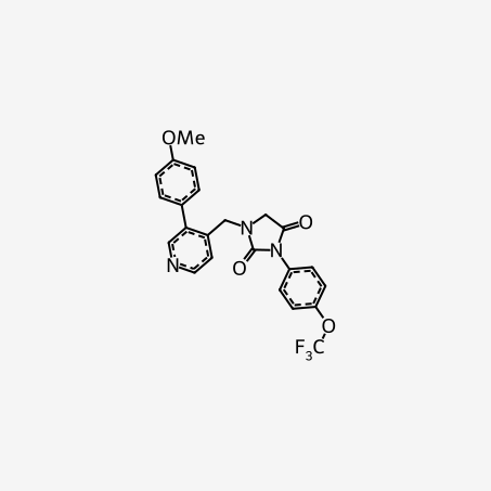 COc1ccc(-c2cnccc2CN2CC(=O)N(c3ccc(OC(F)(F)F)cc3)C2=O)cc1